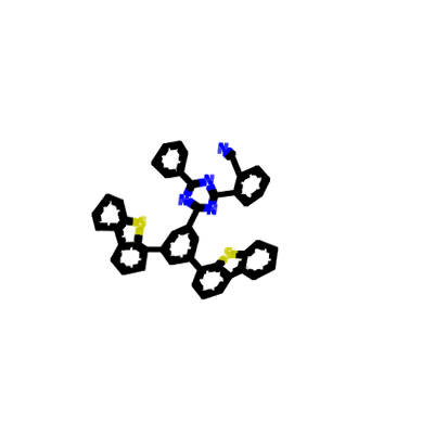 N#Cc1ccccc1-c1nc(-c2ccccc2)nc(-c2cc(-c3cccc4c3sc3ccccc34)cc(-c3cccc4c3sc3ccccc34)c2)n1